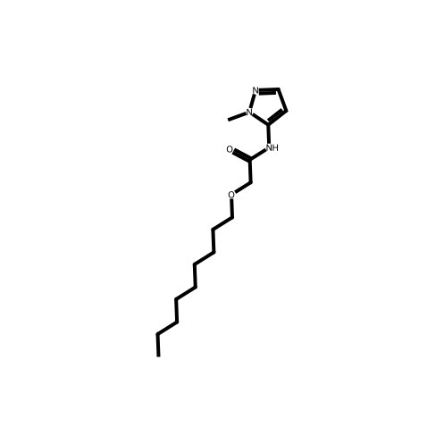 CCCCCCCCCOCC(=O)Nc1ccnn1C